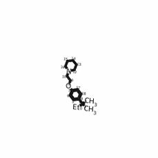 CCC(C)(C)c1ccc(OCCN2CCCCC2)cc1